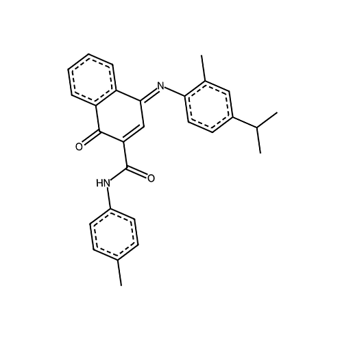 Cc1ccc(NC(=O)C2=CC(=Nc3ccc(C(C)C)cc3C)c3ccccc3C2=O)cc1